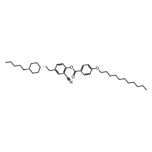 CCCCCCCCCCCOc1ccc(C(=O)Oc2ccc(CC[C@H]3CC[C@H](CCCCC)CC3)cc2C#N)cc1